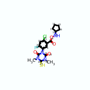 CN1C(=O)N(c2cc(C(=O)ONC3CCCC3)c(Cl)cc2F)C(=O)N(C)C1S